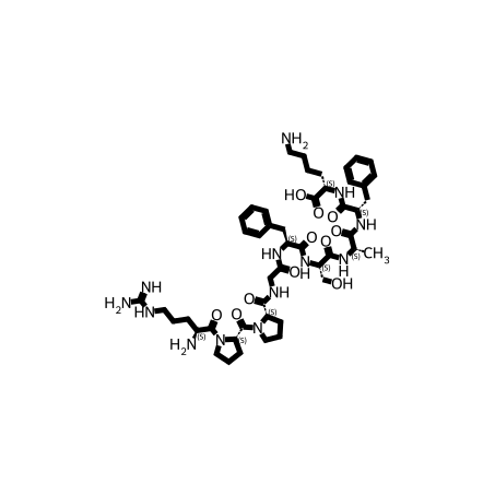 C[C@H](NC(=O)[C@H](CO)NC(=O)[C@H](Cc1ccccc1)NC(=O)CNC(=O)[C@@H]1CCCN1C(=O)[C@@H]1CCCN1C(=O)[C@@H](N)CCCNC(=N)N)C(=O)N[C@@H](Cc1ccccc1)C(=O)N[C@@H](CCCCN)C(=O)O